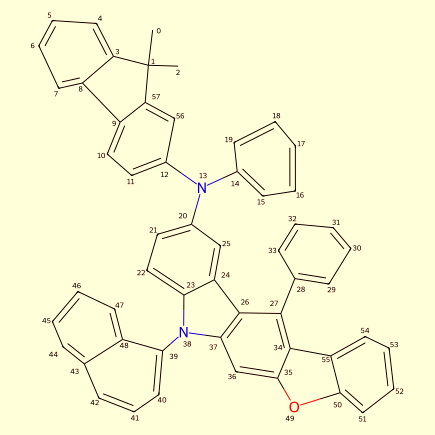 CC1(C)c2ccccc2-c2ccc(N(c3ccccc3)c3ccc4c(c3)c3c(-c5ccccc5)c5c(cc3n4-c3cccc4ccccc34)oc3ccccc35)cc21